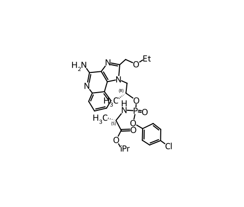 CCOCc1nc2c(N)nc3ccccc3c2n1C[C@@H](C)OP(=O)(N[C@@H](C)C(=O)OC(C)C)Oc1ccc(Cl)cc1